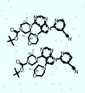 C[C@@H]1CN(c2cn(-c3cc(C#N)ccn3)c3ncnc(N4CCN(C(=O)OC(C)(C)C)C[C@@H]4C)c23)CCO1.C[C@@H]1CN(c2cn(-c3cc(C#N)ccn3)c3ncnc(N4CCN(C(=O)OC(C)(C)C)C[C@@H]4C)c23)CCO1